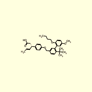 C/C=C/[C@H](CC(=O)O)c1ccc(OCc2ccc(C(C)(C)C)c(-c3cc(OC)ccc3OCCCC)c2)cc1